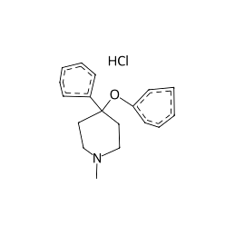 CN1CCC(Oc2ccccc2)(c2ccccc2)CC1.Cl